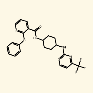 O=C(NC1CCC(Nc2nccc(C(F)(F)F)n2)CC1)c1cccnc1Oc1ccccc1